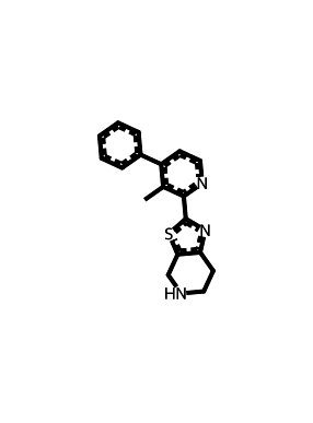 Cc1c(-c2ccccc2)ccnc1-c1nc2c(s1)CNCC2